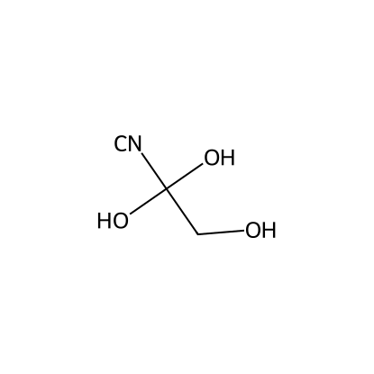 [C-]#[N+]C(O)(O)CO